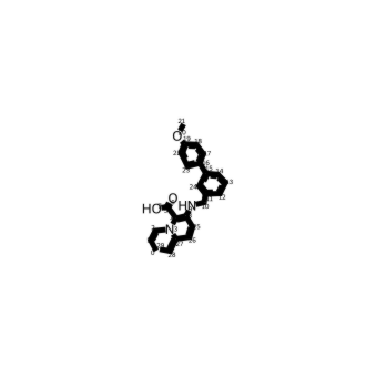 C/C=C\N1C(C(=O)O)=C(NCc2cccc(-c3ccc(OC)cc3)c2)C=C/C1=C/C